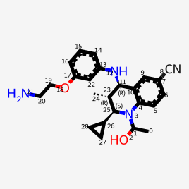 CC(O)N1c2ccc(C#N)cc2[C@H](Nc2cccc(OCCN)c2)[C@@H](C)[C@@H]1C1CC1